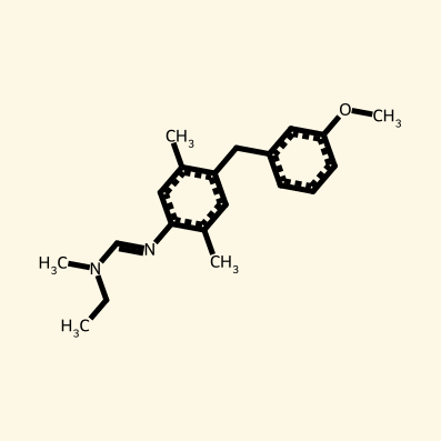 CCN(C)C=Nc1cc(C)c(Cc2cccc(OC)c2)cc1C